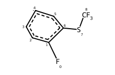 Fc1cc[c]cc1SC(F)(F)F